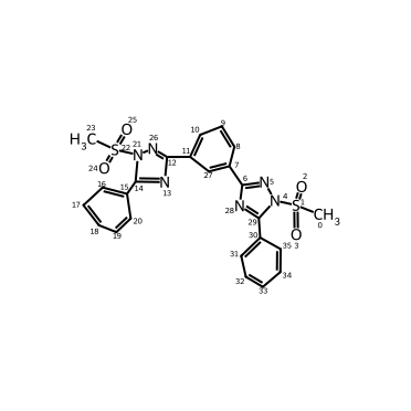 CS(=O)(=O)n1nc(-c2cccc(-c3nc(-c4ccccc4)n(S(C)(=O)=O)n3)c2)nc1-c1ccccc1